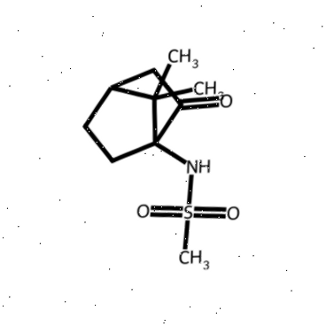 CC1(C)C2CCC1(NS(C)(=O)=O)C(=O)C2